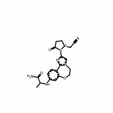 CC(Nc1ccc2c(c1)OCCn1cc(N3C(=O)CC[C@H]3CC#N)nc1-2)C(N)=O